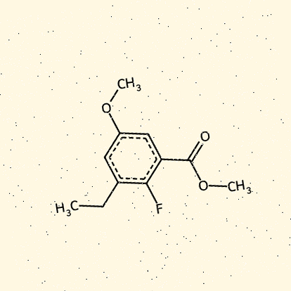 CCc1cc(OC)cc(C(=O)OC)c1F